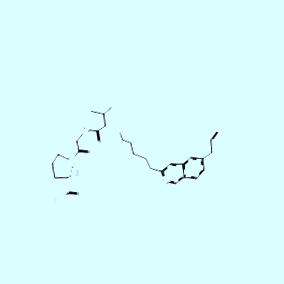 C=C[C@H](C)c1ccc2cnc(CCCCCO[C@H](C(=O)N[C@@H](C)C(=O)N3CCC[C@@H](C(=O)O)N3)C(C)C)cc2c1